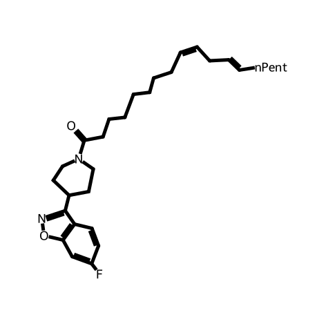 CCCCCC=CC/C=C\CCCCCCCC(=O)N1CCC(c2noc3cc(F)ccc23)CC1